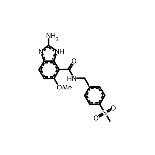 COc1ccc2nc(N)[nH]c2c1C(=O)NCc1ccc(S(C)(=O)=O)cc1